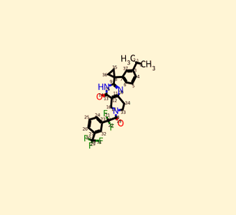 CC(C)c1cccc(C2(c3nc4c(c(=O)[nH]3)CN(C(=O)C(F)(F)c3cccc(C(F)(F)F)c3)CC4)CC2)c1